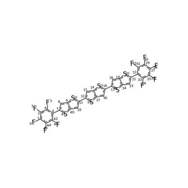 Fc1c(F)c(F)c(-c2cc3sc(-c4cc5sc(-c6cc7sc(-c8c(F)c(F)c(F)c(F)c8F)cc7s6)cc5s4)cc3s2)c(F)c1F